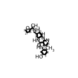 Cc1ccc(O)cc1Nc1ccnc2c1C(=O)Nc1cc(CNC(C)c3ccco3)ccc1N2